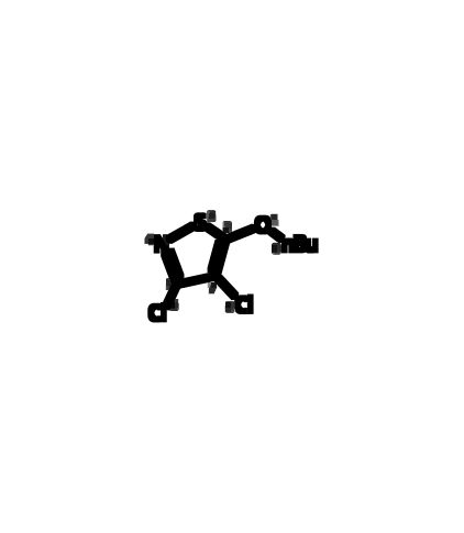 CCCCOc1snc(Cl)c1Cl